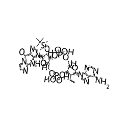 C=CC1[C@H](n2cnc3c(N)ncnc32)O[C@@H]2COP(=O)(O)O[C@H]3C(O[Si](C)(C)C(C)(C)C)[C@H](n4cnc5c(=O)n6ccnc6[nH]c54)O[C@@H]3COP(=O)(O)O[C@@H]12